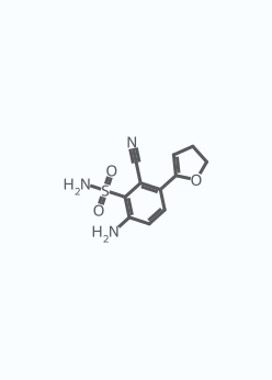 N#Cc1c(C2=CCCO2)ccc(N)c1S(N)(=O)=O